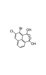 O=C(O)c1cccc2cc(Cl)c(Br)c(C(=O)O)c12